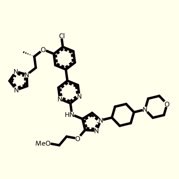 COCCOc1nn(C2CCC(N3CCOCC3)CC2)cc1Nc1ncc(-c2ccc(Cl)c(O[C@@H](C)Cn3cncn3)c2)cn1